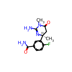 CN1C(=O)C[C@@](C)(c2cc(C(N)=O)ccc2F)N=C1N